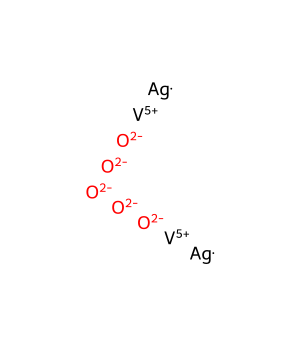 [Ag].[Ag].[O-2].[O-2].[O-2].[O-2].[O-2].[V+5].[V+5]